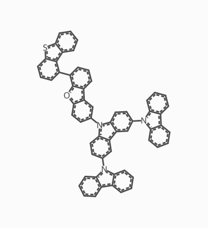 c1ccc2c(c1)sc1cccc(-c3cccc4c3oc3ccc(-n5c6ccc(-n7c8ccccc8c8ccccc87)cc6c6cc(-n7c8ccccc8c8ccccc87)ccc65)cc34)c12